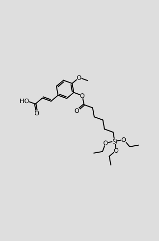 CCO[Si](CCCCCC(=O)Oc1cc(C=CC(=O)O)ccc1OC)(OCC)OCC